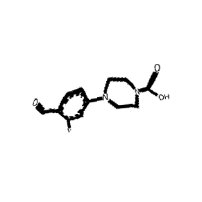 O=Cc1ccc(N2CCN(C(=O)O)CC2)cc1F